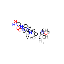 COc1cc(-c2cn(C)c(=O)c(C)c2C)cc(OC)c1CN1C[C@H]2C[C@@H]1CN2c1cccc2c1n(C)c(=O)n2C1CCC(=O)NC1=O